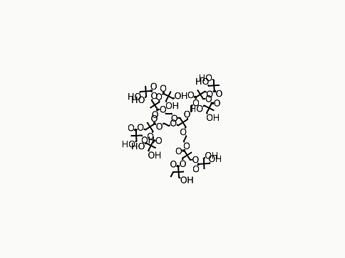 CCC(C)(CO)C(=O)OCC(C)(COC(=O)C(C)(CO)CO)C(=O)OCCOCC(COCCOC(=O)C(C)(COC(=O)C(C)(CO)CO)COC(=O)C(C)(CO)CO)(COCCOC(=O)C(C)(COC(=O)C(C)(CO)CO)COC(=O)C(C)(CO)CO)COCCOC(=O)C(C)(COC(=O)C(C)(CO)CO)COC(=O)C(C)(CO)CO